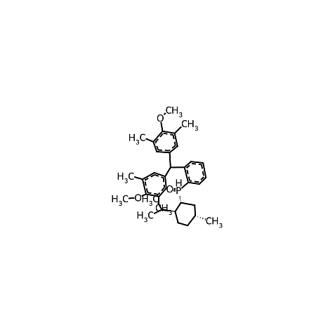 COc1c(C)cc(C(c2cc(C)c(OC)c(C)c2)c2ccccc2[PH](=O)[C@@H]2C[C@H](C)CC[C@H]2C(C)C)cc1C